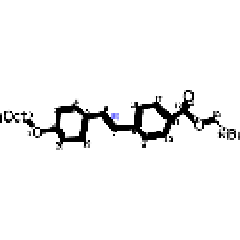 CCCCCCCCOc1ccc(/C=C/c2ccc(C(=O)OC[C@@H](C)CC)cc2)cc1